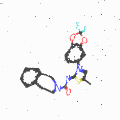 Cc1cn(-c2ccc3c(c2)OC(F)(F)O3)c(=NC(=O)N2CCc3ccccc3C2)s1